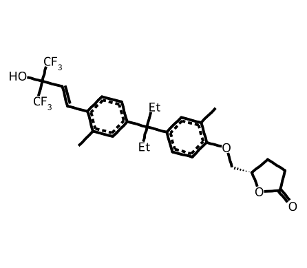 CCC(CC)(c1ccc(/C=C/C(O)(C(F)(F)F)C(F)(F)F)c(C)c1)c1ccc(OC[C@@H]2CCC(=O)O2)c(C)c1